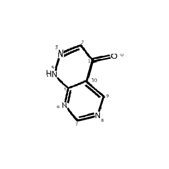 O=c1cn[nH]c2ncncc12